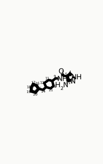 Nc1n[nH]cc1C(=O)NCC1CCC(Cc2ccccc2)CC1